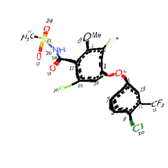 COc1c(F)c(Oc2ccc(Cl)c(C(F)(F)F)c2)cc(F)c1C(=O)NS(C)(=O)=O